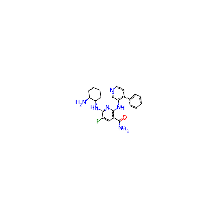 NC(=O)c1cc(F)c(N[C@@H]2CCCC[C@@H]2N)nc1Nc1cnccc1-c1ccccc1